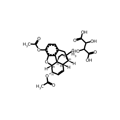 CC(=O)Oc1ccc2c3c1O[C@H]1[C@@H](OC(C)=O)C=C[C@H]4[C@@H](C2)N(C)CC[C@@]341.O=C(O)C(O)C(O)C(=O)O